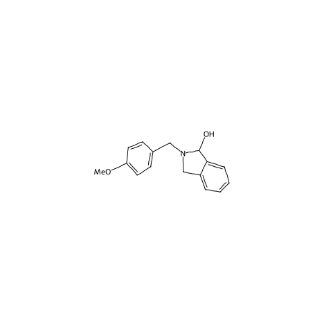 COc1ccc(CN2Cc3ccccc3C2O)cc1